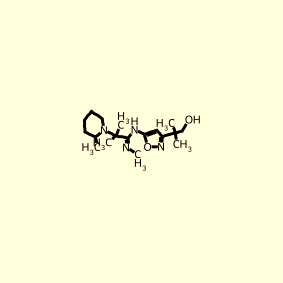 C/N=C(\Nc1cc(C(C)(C)CO)no1)C(C)(C)N1CCCCC1C